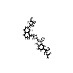 Cc1nc(-c2ccc3ccnc(NCCN4Cc5ccc(C(=O)OC(C)C)cc5C4=O)c3c2)no1